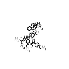 Cc1cc(OC(C)C)c(Nc2ncc(Cl)c(Nc3ccccc3S(=O)(=O)N(C)C)n2)cc1C(=O)NC1CCN(C)CC1